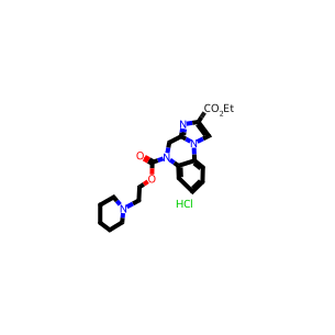 CCOC(=O)c1cn2c(n1)CN(C(=O)OCCN1CCCCC1)c1ccccc1-2.Cl